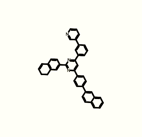 C1=Cc2ccc(-c3nc(-c4ccc(-c5ccc6ccccc6c5)cc4)cc(-c4cccc(-c5cccnc5)c4)n3)cc2CC1